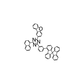 c1cc(-c2nc(-c3ccc4oc5ccccc5c4c3)nc(-c3cccc4ccccc34)n2)cc(-c2cccc3c2-c2ccccc2C32c3ccccc3-c3ccccc32)c1